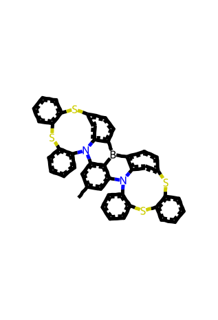 Cc1cc2c3c(c1)N1c4ccccc4Sc4ccccc4Sc4ccc(c1c4)B3c1ccc3cc1N2c1ccccc1Sc1ccccc1S3